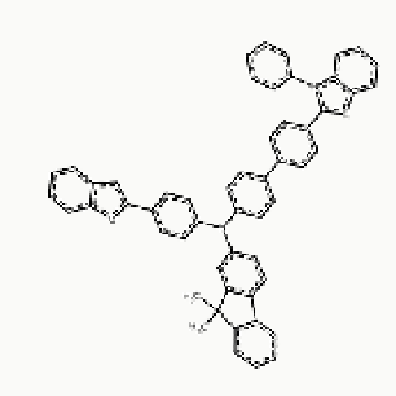 CC1(C)c2ccccc2-c2ccc(N(c3ccc(-c4ccc(-c5nc6ccccc6n5-c5ccccc5)cc4)cc3)c3ccc(-c4cc5ccccc5o4)cc3)cc21